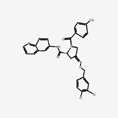 N#Cc1ccc(C(=O)N2CC(=NOCc3ccc(Cl)c(Cl)c3)C[C@H]2C(=O)Nc2ccc3ncccc3c2)cc1